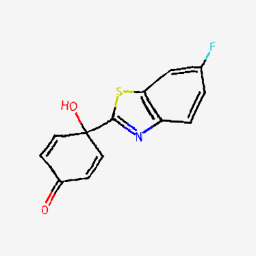 O=C1C=CC(O)(c2nc3ccc(F)cc3s2)C=C1